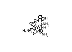 CC(C)C[C@H](NC(=O)[C@H](CC(N)=O)NC(=O)[C@@H](N)Cc1c[nH]c2ccccc12)C(=O)N[C@@H](CC(N)=O)C(=O)N1CCC[C@H]1C(=O)O